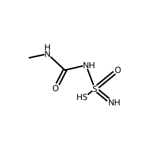 CNC(=O)NS(=N)(=O)S